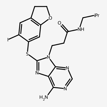 CC(C)CNC(=O)CCn1c(Sc2cc3c(cc2I)CCO3)nc2c(N)ncnc21